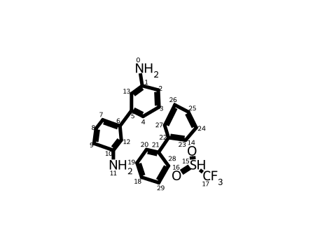 Nc1cccc(-c2cccc(N)c2)c1.O=[SH](=O)C(F)(F)F.c1ccc(-c2ccccc2)cc1